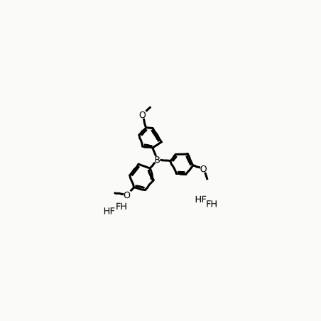 COc1ccc(B(c2ccc(OC)cc2)c2ccc(OC)cc2)cc1.F.F.F.F